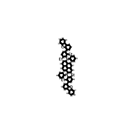 CCc1ccc(-c2cccc3c2oc2ccccc23)c(CC)c1N(c1ccccc1)c1ccc2ccc3c(N(c4ccccc4)c4c(CC)ccc(-c5cccc6c5oc5ccccc56)c4CC)ccc4ccc1c2c43